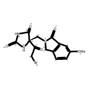 COc1ccc2c(c1)C(=O)N(C[C@@]1(C(=O)CBr)NC(=O)NC1=O)C2